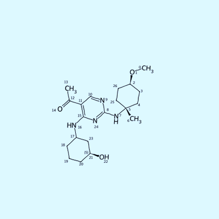 CO[C@H]1CC[C@](C)(Nc2ncc(C(C)=O)c(NC3CCC[C@H](O)C3)n2)CC1